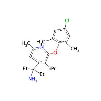 CCCc1c(C(N)(CC)CC)cc(C)nc1Oc1c(C)cc(Cl)cc1C